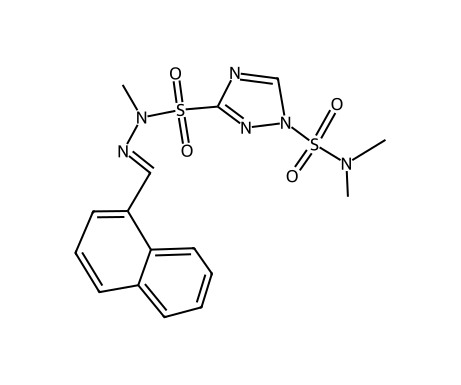 CN(/N=C/c1cccc2ccccc12)S(=O)(=O)c1ncn(S(=O)(=O)N(C)C)n1